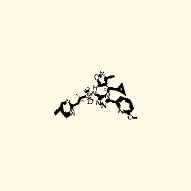 COc1cccc(-c2nnc(NS(=O)(=O)[C@@H](C)Cc3ncc(C)cn3)n2[C@H](c2conc2C)C2CC2)n1